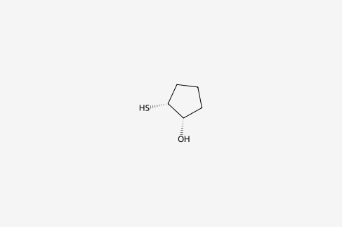 O[C@H]1CCC[C@H]1S